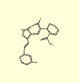 NC(=O)c1ccccc1-c1cc2c(/C=C/c3cccc(F)c3)n[nH]c2cc1F